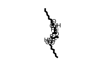 C=C(OC(=C)C(F)(F)C(F)(F)NS(=O)(=O)CCCCCCCC)C(F)(F)C(F)(F)NS(=O)(=O)CCCCCCCC